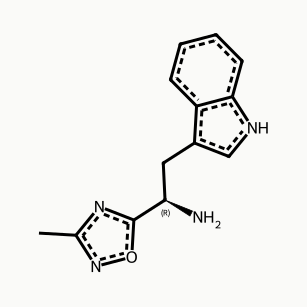 Cc1noc([C@H](N)Cc2c[nH]c3ccccc23)n1